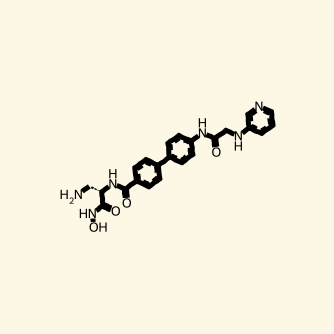 NC[C@H](NC(=O)c1ccc(-c2ccc(NC(=O)CNc3cccnc3)cc2)cc1)C(=O)NO